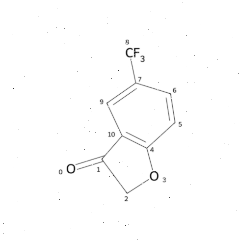 O=C1COc2ccc(C(F)(F)F)cc21